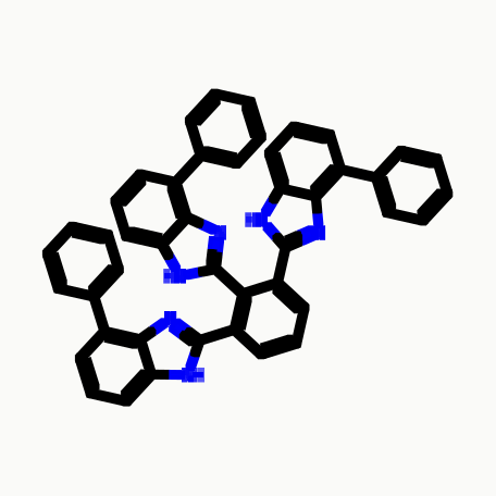 c1ccc(-c2cccc3[nH]c(-c4cccc(-c5nc6c(-c7ccccc7)cccc6[nH]5)c4-c4nc5c(-c6ccccc6)cccc5[nH]4)nc23)cc1